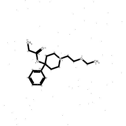 CCOCCN1CCC(OC(=O)CC)(c2ccccc2)CC1